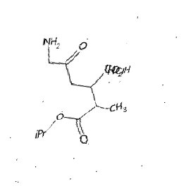 CC(C)OC(=O)C(C)C(CC(=O)CN)C(=O)O.Cl